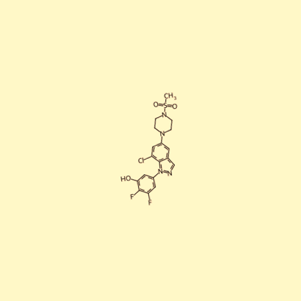 CS(=O)(=O)N1CCN(c2cc(Cl)c3c(cnn3-c3cc(O)c(F)c(F)c3)c2)CC1